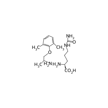 Cc1cccc(C)c1OCC(C)N.NC(=O)NCCC[C@H](N)C(=O)O